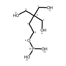 OCC(CO)(CO)CCOP(O)O